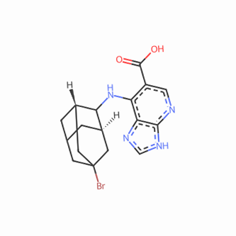 O=C(O)c1cnc2[nH]cnc2c1NC1[C@@H]2CC3C[C@H]1CC(Br)(C3)C2